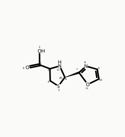 O=C(O)C1CS[C@H](c2ncco2)N1